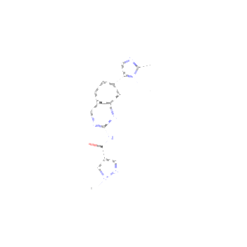 Cc1ncc(-c2ccc3cnc(NC(=O)c4cnn(C(C)C)c4)nc3c2)n1C